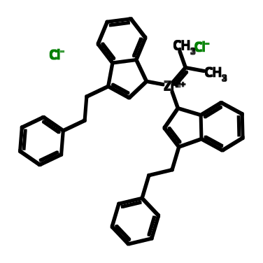 C[C](C)=[Zr+2]([CH]1C=C(CCc2ccccc2)c2ccccc21)[CH]1C=C(CCc2ccccc2)c2ccccc21.[Cl-].[Cl-]